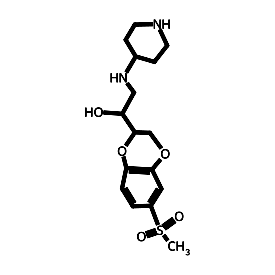 CS(=O)(=O)c1ccc2c(c1)OCC(C(O)CNC1CCNCC1)O2